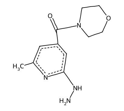 Cc1cc(C(=O)N2CCOCC2)cc(NN)n1